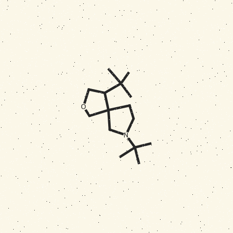 CC(C)(C)C1COCC12CCN(C(C)(C)C)C2